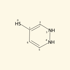 SC1=[C]NNC=C1